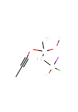 CC#CO[Si](B[Si](Cl)(Br)I)(OC)OCC